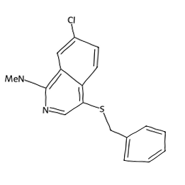 CNc1ncc(SCc2ccccc2)c2ccc(Cl)cc12